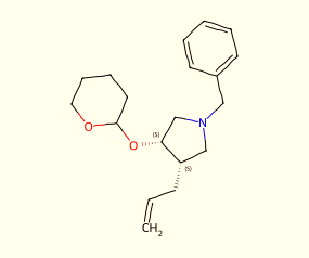 C=CC[C@H]1CN(Cc2ccccc2)C[C@H]1OC1CCCCO1